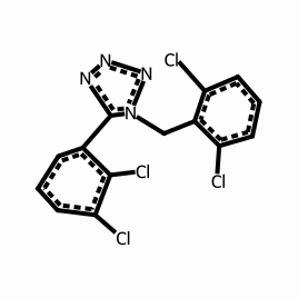 Clc1cccc(-c2nnnn2Cc2c(Cl)cccc2Cl)c1Cl